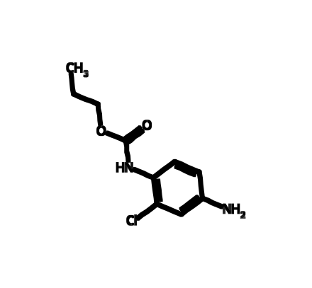 CCCOC(=O)Nc1ccc(N)cc1Cl